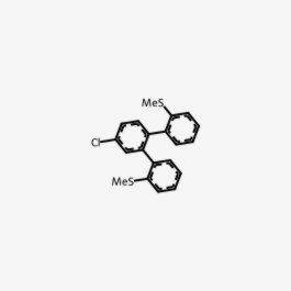 CSc1ccccc1-c1ccc(Cl)cc1-c1ccccc1SC